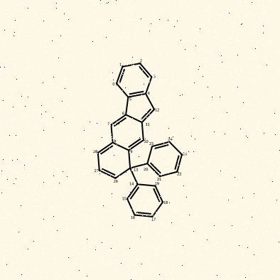 [c]1cccc2c1-c1cc3c(cc1=C2)C(c1ccccc1)(c1ccccc1)C=CC=3